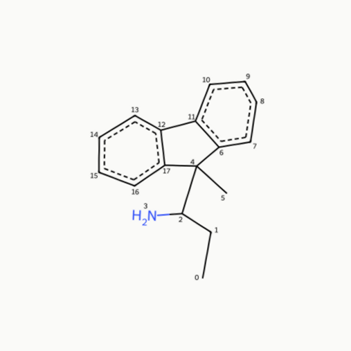 CCC(N)C1(C)c2ccccc2-c2ccccc21